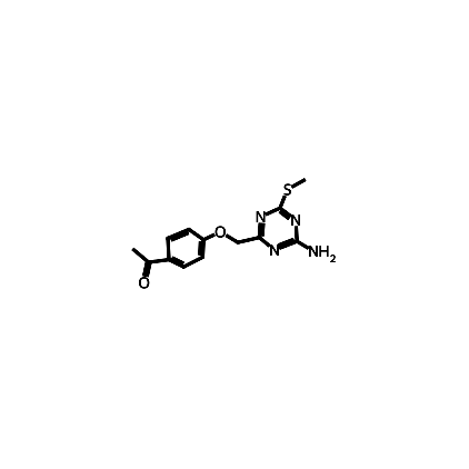 CSc1nc(N)nc(COc2ccc(C(C)=O)cc2)n1